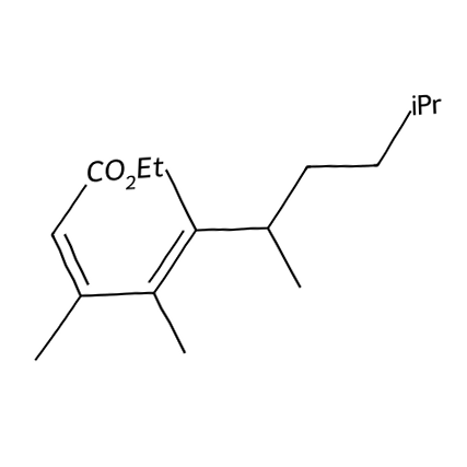 CCOC(=O)C=C(C)C(C)=C(C)C(C)CCC(C)C